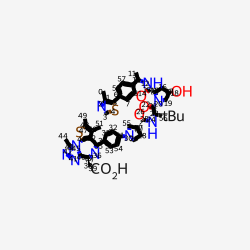 Cc1ncsc1-c1ccc(C(C)NC(=O)[C@@H]2C[C@@H](O)CN2C(=O)C(NC(=O)[C@@H]2CCN(c3ccc(C4=N[C@@H](CC(=O)O)c5nnc(C)n5-c5sc(C)c(C)c54)cc3)C2)C(C)(C)C)cc1